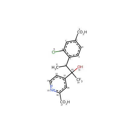 CC(c1ccc(C(=O)O)cc1Cl)C(O)(c1ccnc(C(=O)O)c1)C(F)(F)F